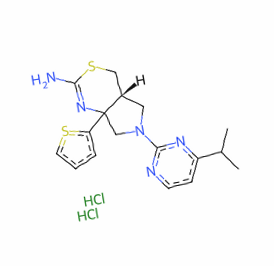 CC(C)c1ccnc(N2C[C@H]3CSC(N)=NC3(c3cccs3)C2)n1.Cl.Cl